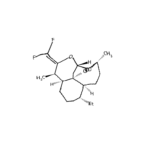 CC[C@@H]1CC[C@H]2[C@@H](C)C(=C(F)F)O[C@@H]3O[C@]4(C)CC[C@@H]1[C@]32OO4